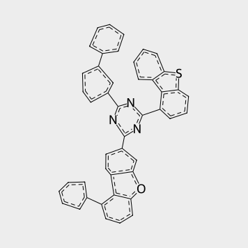 c1ccc(-c2cccc(-c3nc(-c4ccc5c(c4)oc4cccc(-c6ccccc6)c45)nc(-c4cccc5sc6ccccc6c45)n3)c2)cc1